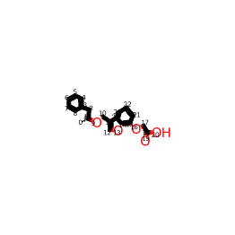 C[C@H](Cc1ccccc1)OCc1coc2c(OCC(=O)O)cccc12